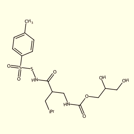 Cc1ccc(S(=O)(=O)SNC(=O)C(CNC(=O)OCC(O)CO)CC(C)C)cc1